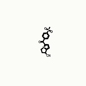 CS(=O)(=O)c1ccc(C(=O)c2ccc3n2CCC3C#N)cc1